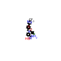 N/C(=N/O)c1cccc(N(CC23CCC(c4cnc(C(F)(F)F)nc4)(CC2)OC3)C(=O)C23CC(F)(C2)C3)c1